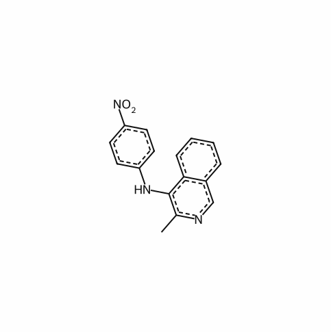 Cc1ncc2ccccc2c1Nc1ccc([N+](=O)[O-])cc1